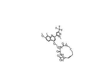 COc1ccc2c(OCCC3NC(=O)N(C)CCCCC=CC4CC4(C(=O)O)NC3=O)cc(-c3cc(C(F)(F)F)nn3C)nc2c1C